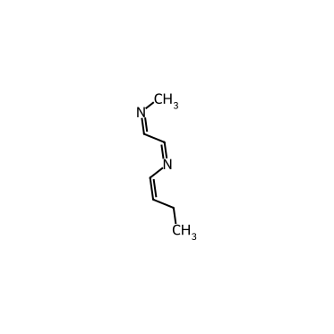 CC\C=C/N=C\C=N/C